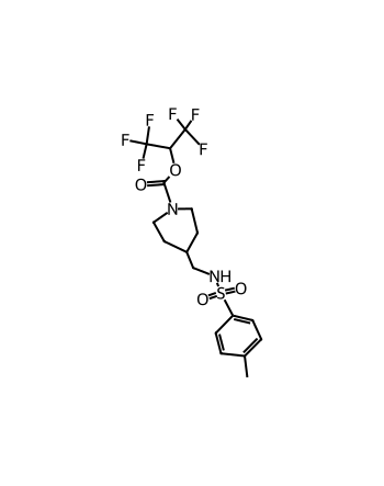 Cc1ccc(S(=O)(=O)NCC2CCN(C(=O)OC(C(F)(F)F)C(F)(F)F)CC2)cc1